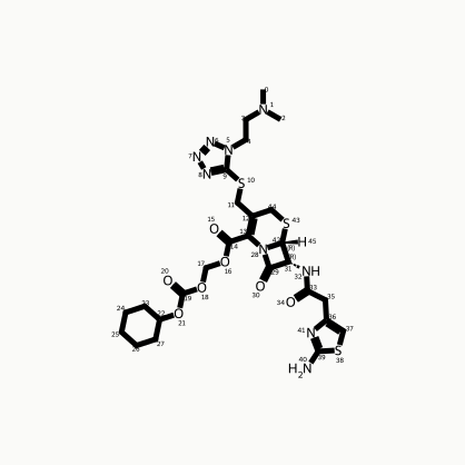 CN(C)CCn1nnnc1SCC1=C(C(=O)OCOC(=O)OC2CCCCC2)N2C(=O)[C@@H](NC(=O)Cc3csc(N)n3)[C@H]2SC1